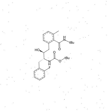 Cc1cccc(C[C@H](O)[C@@H](Cc2ccccc2F)NC(=O)OC(C)(C)C)c1C(=O)NC(C)(C)C